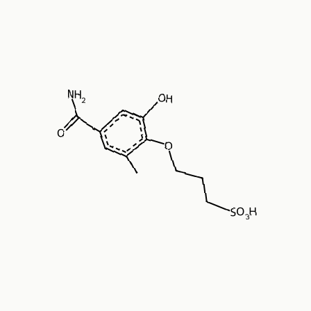 Cc1cc(C(N)=O)cc(O)c1OCCCS(=O)(=O)O